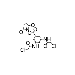 O=C(CCl)Nc1cc(NC(=O)CCl)cc(C(=O)ON2C(=O)CCC2=O)c1